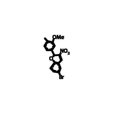 COc1cc(C2Oc3ccc(Br)cc3C=C2[N+](=O)[O-])ccc1C